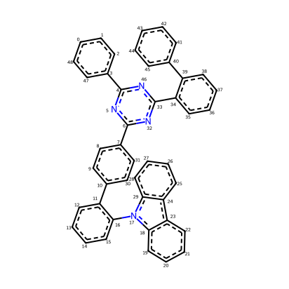 c1ccc(-c2nc(-c3ccc(-c4ccccc4-n4c5ccccc5c5ccccc54)cc3)nc(-c3ccccc3-c3ccccc3)n2)cc1